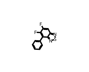 Fc1cc2nsnc2c(-c2ccccc2)c1F